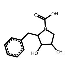 CC1CN(C(=O)O)C(Cc2ccccc2)C1O